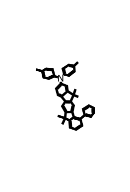 Cc1ccc(N(c2ccc(C)cc2)c2ccc3c(c2)C(C)(C)c2cc4c(cc2-3)C(C)(C)c2cccc(-c3ccccc3)c2-4)cc1